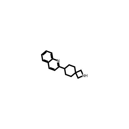 c1ccc2nc(C3CCC4(CC3)CNC4)ccc2c1